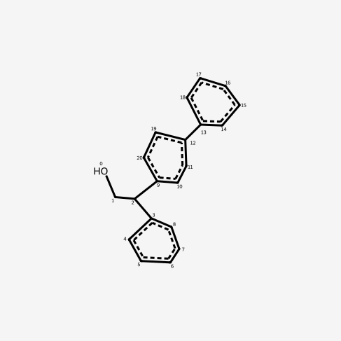 OCC(c1ccccc1)c1ccc(-c2ccccc2)cc1